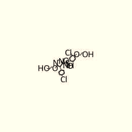 O=S(=O)(Nc1ncnc(OCCO)c1-c1ccc(Cl)cc1)c1ccc(OCCO)c(Cl)c1